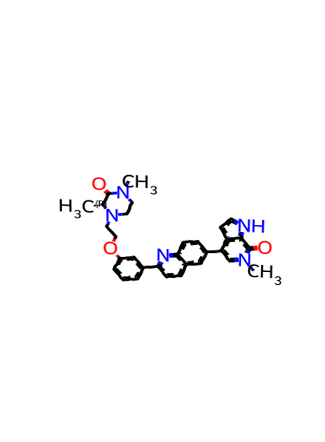 C[C@@H]1C(=O)N(C)CCN1CCOc1cccc(-c2ccc3cc(-c4cn(C)c(=O)c5[nH]ccc45)ccc3n2)c1